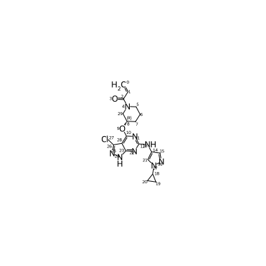 C=CC(=O)N1CCC[C@@H](Oc2nc(Nc3cnn(C4CC4)c3)nc3[nH]nc(Cl)c23)C1